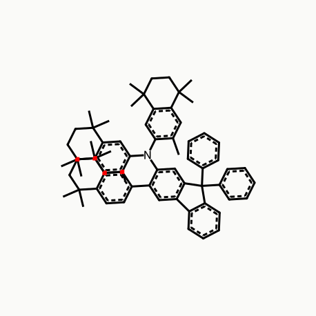 Cc1cc2c(cc1N(c1cc3c(cc1C)C(C)(C)CCC3(C)C)c1cc3c(cc1-c1ccc4c(c1)C(C)(C)CCC4(C)C)-c1ccccc1C3(c1ccccc1)c1ccccc1)C(C)(C)CCC2(C)C